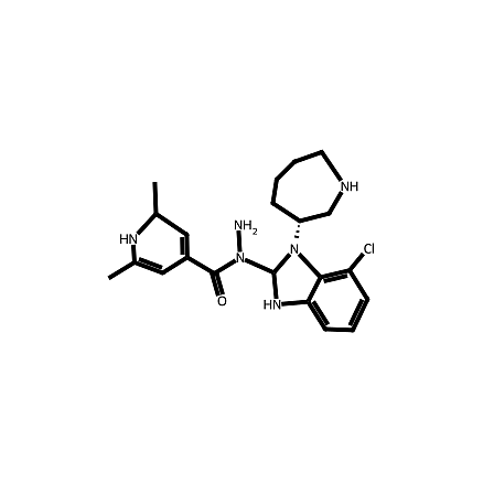 CC1=CC(C(=O)N(N)C2Nc3cccc(Cl)c3N2[C@@H]2CCCCNC2)=CC(C)N1